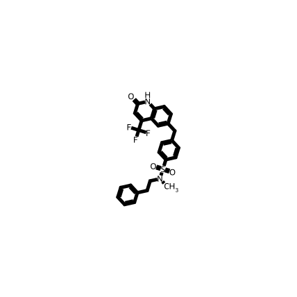 CN(CCc1ccccc1)S(=O)(=O)c1ccc(Cc2ccc3[nH]c(=O)cc(C(F)(F)F)c3c2)cc1